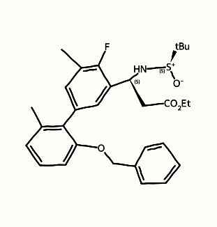 CCOC(=O)C[C@H](N[S@+]([O-])C(C)(C)C)c1cc(-c2c(C)cccc2OCc2ccccc2)cc(C)c1F